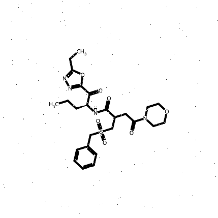 CCC[C@H](NC(=O)C(CC(=O)N1CCOCC1)CS(=O)(=O)Cc1ccccc1)C(=O)c1nnc(CC)o1